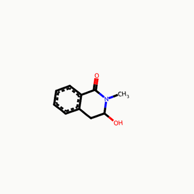 CN1C(=O)c2ccccc2CC1O